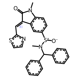 CN1C(=O)/C(=C/c2nccs2)c2cc([S+]([O-])N(C)C(c3ccccc3)c3ccccc3)ccc21